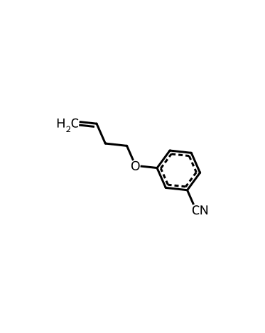 C=CCCOc1cccc(C#N)c1